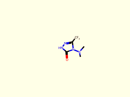 CN(C)n1c(C(F)(F)F)n[nH]c1=O